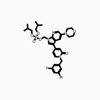 CC(C)COP(=O)(OCC(C)C)OCn1cc(-c2ccn(Cc3cc(F)cc(Br)c3)c(=O)c2)c2cc(N3CCOCC3)cnc21